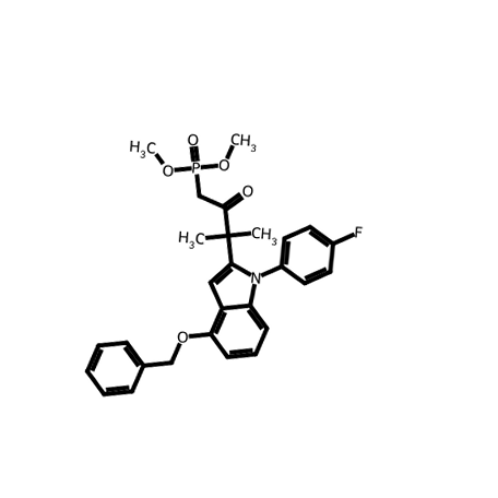 COP(=O)(CC(=O)C(C)(C)c1cc2c(OCc3ccccc3)cccc2n1-c1ccc(F)cc1)OC